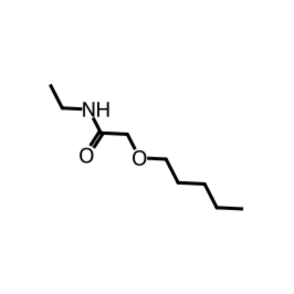 CCCCCOCC(=O)NCC